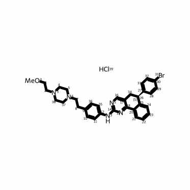 COCCN1CCN(CCc2ccc(Nc3ncc4c(n3)-c3ccccc3[C@H](c3ccc(Br)cc3)C4)cc2)CC1.Cl